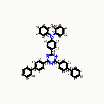 c1ccc(-c2ccc(-c3nc(-c4ccc(-c5ccccc5)cc4)nc(-c4ccc(N5c6ccccc6Sc6ccccc65)cc4)n3)cc2)cc1